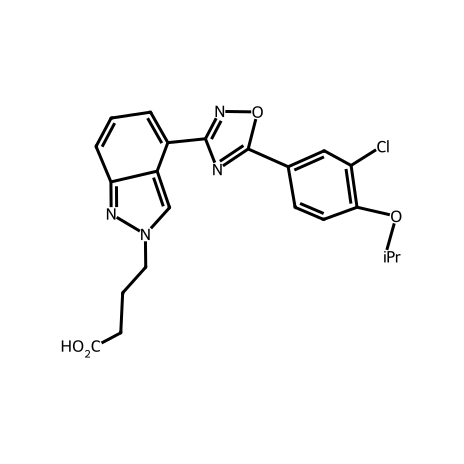 CC(C)Oc1ccc(-c2nc(-c3cccc4nn(CCCC(=O)O)cc34)no2)cc1Cl